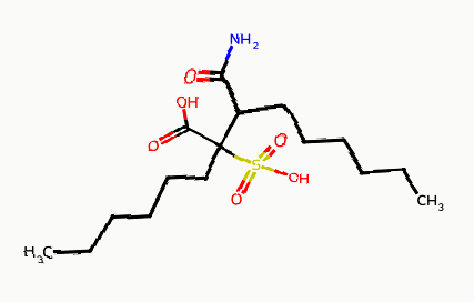 CCCCCCC(C(N)=O)C(CCCCCC)(C(=O)O)S(=O)(=O)O